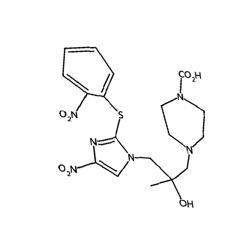 CC(O)(CN1CCN(C(=O)O)CC1)Cn1cc([N+](=O)[O-])nc1Sc1ccccc1[N+](=O)[O-]